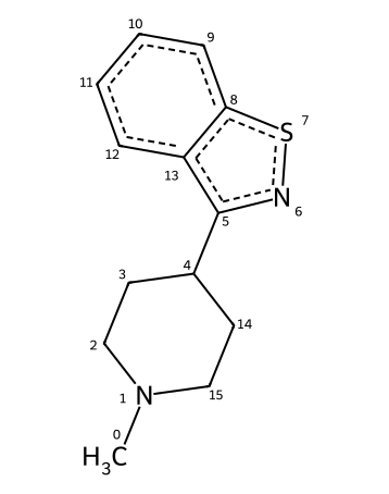 CN1CCC(c2nsc3ccccc23)CC1